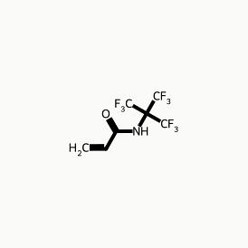 C=CC(=O)NC(C(F)(F)F)(C(F)(F)F)C(F)(F)F